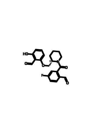 O=Cc1ccc(F)cc1C(=O)N1CCCC[C@H]1COc1cccc(O)c1C=O